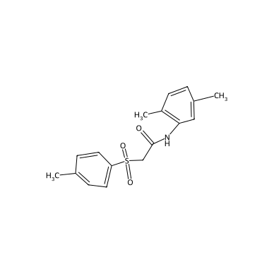 Cc1ccc(S(=O)(=O)CC(=O)Nc2cc(C)ccc2C)cc1